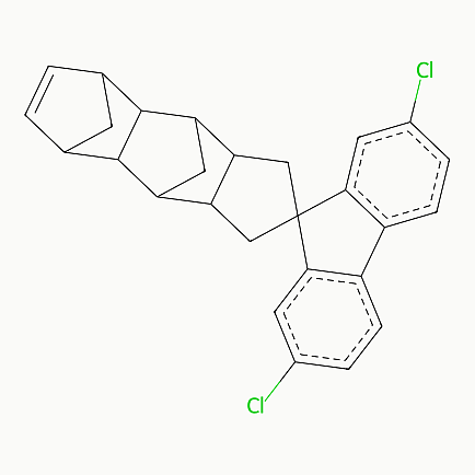 Clc1ccc2c(c1)C1(CC3C(C1)C1CC3C3C4C=CC(C4)C13)c1cc(Cl)ccc1-2